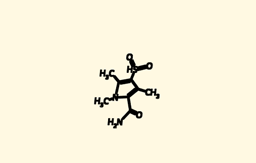 Cc1c([SH](=O)=O)c(C)n(C)c1C(N)=O